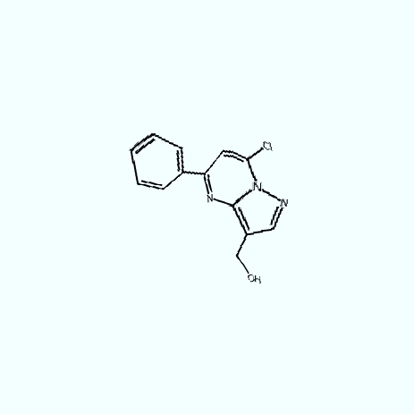 OCc1cnn2c(Cl)cc(-c3ccccc3)nc12